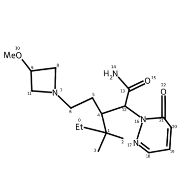 CCC(C)(C)C(CCN1CC(OC)C1)C(C(N)=O)n1ncccc1=O